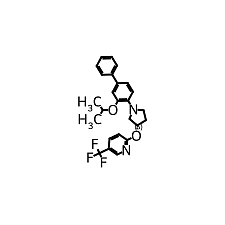 CC(C)Oc1cc(-c2ccccc2)ccc1N1CC[C@H](Oc2ccc(C(F)(F)F)cn2)C1